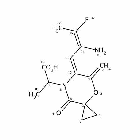 C=C1OC2(CC2)C(=O)N(C(C)C(=O)O)/C1=C/C(N)=C(\C)F